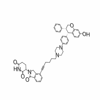 O=C1CCC(N2Cc3c(C#CCCCCN4CCN(c5ccc([C@H]6c7ccc(O)cc7OC[C@H]6c6ccccc6)cc5)CC4)cccc3C2=O)C(=O)N1